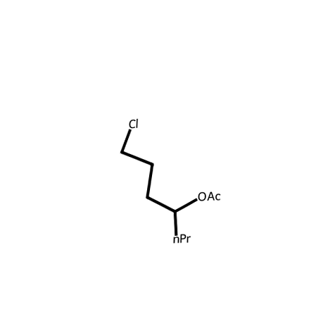 CCCC(CCCCl)OC(C)=O